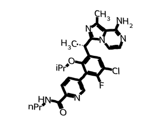 CCCNC(=O)c1ccc(-c2c(F)c(Cl)cc([C@H](C)c3nc(C)c4c(N)nccn34)c2OC(C)C)cn1